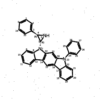 c1ccc([C@H]2N[C@@H]2n2c3ccccc3c3cc4c5ccccc5n(-c5ccccc5)c4cc32)cc1